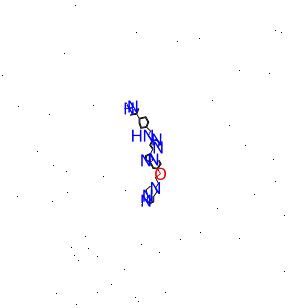 Cn1cc(-c2ccc(CNc3cc(-c4cnc5cc(OCCN6CCn7nccc7C6)ccn45)ncn3)cc2)cn1